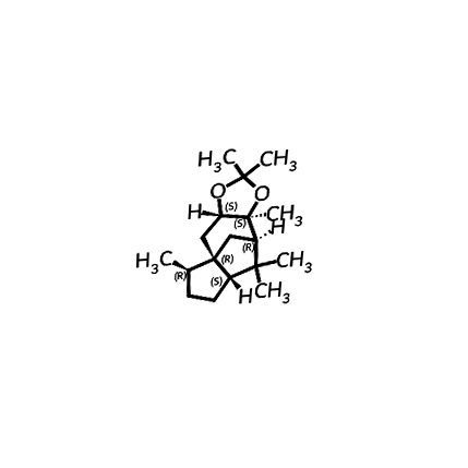 C[C@@H]1CC[C@H]2C(C)(C)[C@H]3C[C@@]12C[C@@H]1OC(C)(C)O[C@]13C